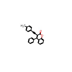 Cc1ccc(C#Cc2c(-c3ccccc3)c3ccccc3oc2=O)cc1